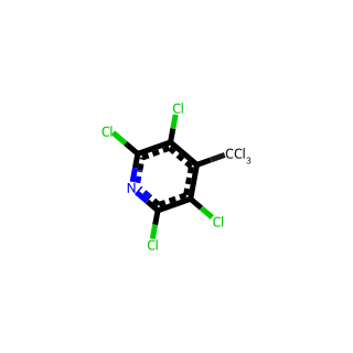 Clc1nc(Cl)c(Cl)c(C(Cl)(Cl)Cl)c1Cl